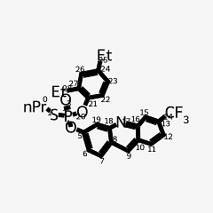 CCCSP(=O)(Oc1ccc2cc3ccc(C(F)(F)F)cc3nc2c1)Oc1ccc(CC)cc1CC